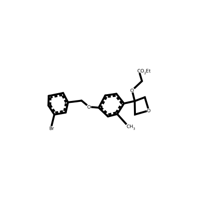 CCOC(=O)COC1(c2ccc(OCc3cccc(Br)c3)cc2C)COC1